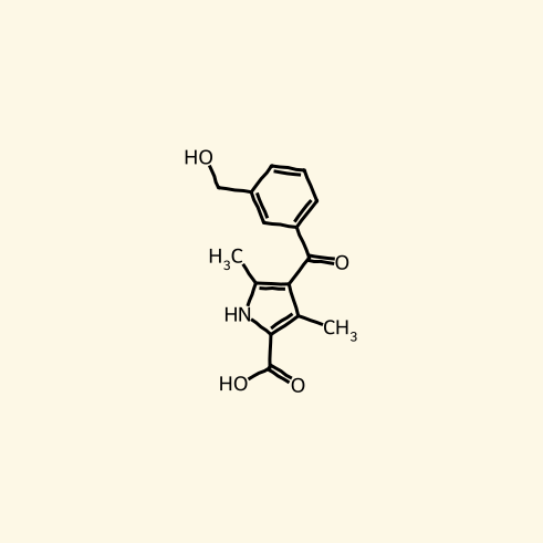 Cc1[nH]c(C(=O)O)c(C)c1C(=O)c1cccc(CO)c1